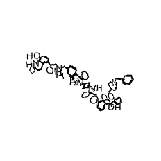 O=C(COc1cccc([C@](O)(C(=O)OCC2CCN(Cc3ccccc3)CC2)c2ccccc2)c1)NC1CC(NC(=O)c2ccc(CNC[C@H](O)c3ccc(O)c4[nH]c(=O)ccc34)cc2Br)C1